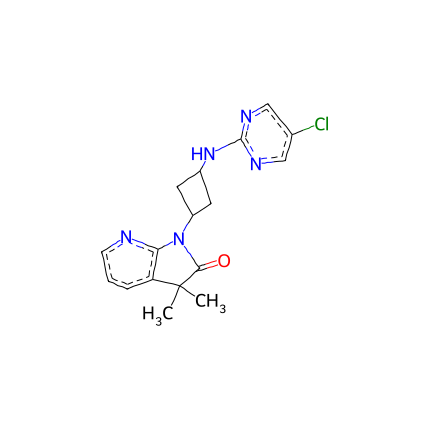 CC1(C)C(=O)N(C2CC(Nc3ncc(Cl)cn3)C2)c2ncccc21